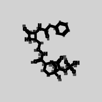 O=C(Cc1ccccc1)N[C@@H]1C(=O)N[C@@H]1CONC(=O)[C@@H]1CC[C@@H]2CN1C(=O)N2OS(=O)(=O)O